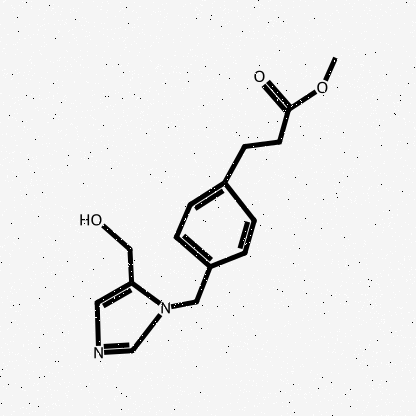 COC(=O)CCc1ccc(Cn2cncc2CO)cc1